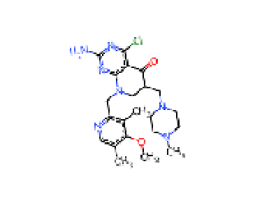 COc1c(C)cnc(CN2CC(CN3CCN(C)CC3)C(=O)c3c(Cl)nc(N)nc32)c1C